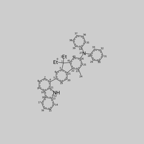 CCC1(CC)c2cc(-c3cccc4c3[nH]c3ccccc34)ccc2-c2c(C)cc(N(c3ccccc3)c3ccccc3)cc21